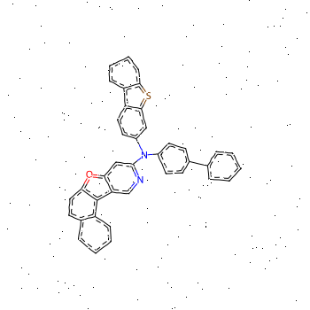 c1ccc(-c2ccc(N(c3ccc4c(c3)sc3ccccc34)c3cc4oc5ccc6ccccc6c5c4cn3)cc2)cc1